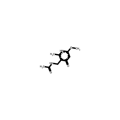 COc1cc(=O)c(CNC(C)=O)c(C)[nH]1